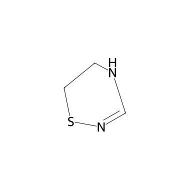 C1=NSCCN1